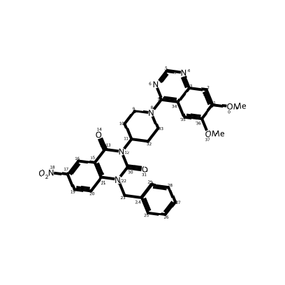 COc1cc2ncnc(N3CCC(n4c(=O)c5cc([N+](=O)[O-])ccc5n(Cc5ccccc5)c4=O)CC3)c2cc1OC